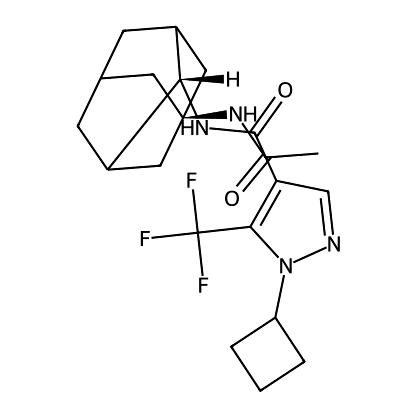 CC(=O)N[C@]12CC3CC(C1)[C@@H](NC(=O)c1cnn(C4CCC4)c1C(F)(F)F)C(C3)C2